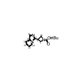 CC(C)(C)OC(=O)N1CC(c2ncc3ccccn23)C1